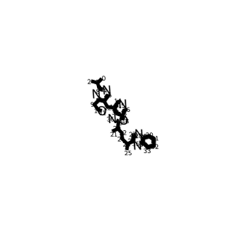 CC(C)c1ncc2c(n1)CCOC2c1cncc2oc(C(C)CCC(C)c3cnc4ccccc4n3)nc12